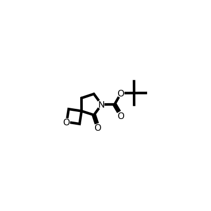 CC(C)(C)OC(=O)N1CCC2(COC2)C1=O